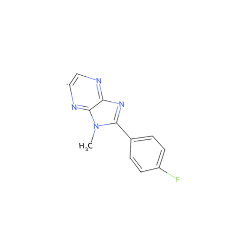 Cn1c(-c2ccc(F)cc2)nc2nc[c]nc21